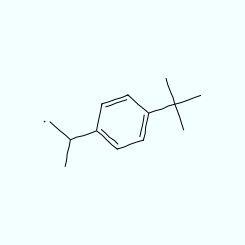 [CH2]C(C)c1ccc(C(C)(C)C)cc1